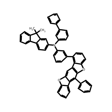 CC1(C)c2ccccc2-c2ccc(N(c3cccc(-c4ccccc4)c3)c3cccc(-c4cccc5oc6c(-c7ccccc7)c7c(cc6c45)oc4ccccc47)c3)cc21